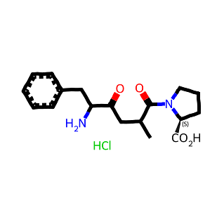 CC(CC(=O)C(N)Cc1ccccc1)C(=O)N1CCC[C@H]1C(=O)O.Cl